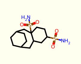 NS(=O)(=O)C1CCC2(S(N)(=O)=O)CC3CCC(CC3)CC2C1